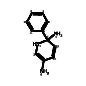 NC1=CNC(N)(c2ccccc2)C=C1